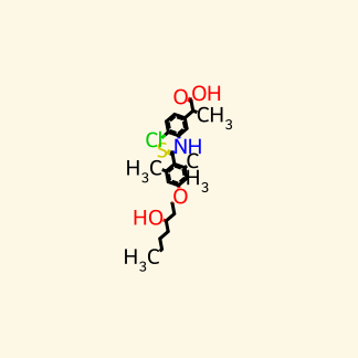 CCCCC(O)CCOc1cc(C)c(C(=S)Nc2cc(C(C)C(=O)O)ccc2Cl)c(C)c1